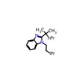 CCCC(C)(C)c1nc2ccccc2n1CCC(C)C